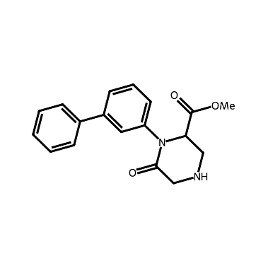 COC(=O)C1CNCC(=O)N1c1cccc(-c2ccccc2)c1